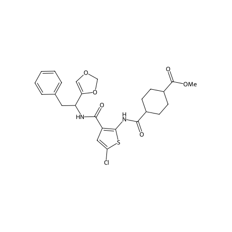 COC(=O)C1CCC(C(=O)Nc2sc(Cl)cc2C(=O)NC(Cc2ccccc2)C2=COCO2)CC1